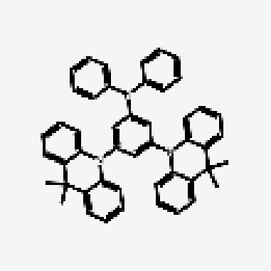 CC1(C)c2ccccc2N(c2cc(N(c3ccccc3)c3ccccc3)cc(N3c4ccccc4C(C)(C)c4ccccc43)c2)c2ccccc21